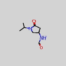 CC(C)N1CC(NC=O)CC1=O